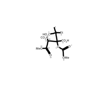 CCC(C)(C(=O)O)C(OC(=O)OC)(C(=O)O)C(C(=O)O)C(=O)OC